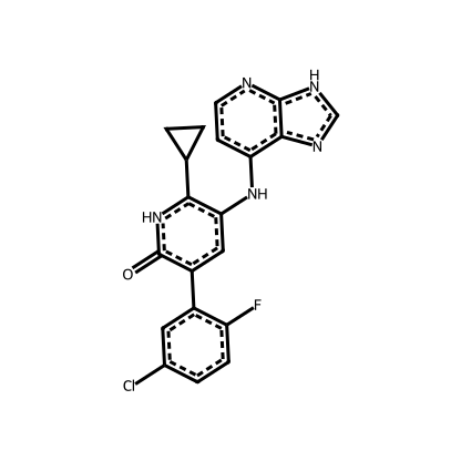 O=c1[nH]c(C2CC2)c(Nc2ccnc3[nH]cnc23)cc1-c1cc(Cl)ccc1F